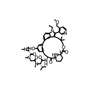 CCn1c(-c2cnccc2COC)c2c3cc(ccc31)-c1cc(O)cc(c1)C[C@H](NC(=O)[C@H](C(C)C)N(C)C(=O)CN(C)C(=O)[C@H]1CN1C)C(=O)N1CCC[C@H](N1)C(=O)OCC(C)(C)C2